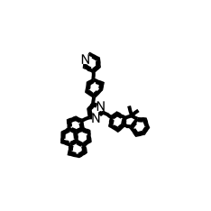 CC1(C)c2ccccc2-c2ccc(-c3nc(-c4ccc(-c5cccnc5)cc4)cc(-c4ccc5ccc6cccc7ccc4c5c67)n3)cc21